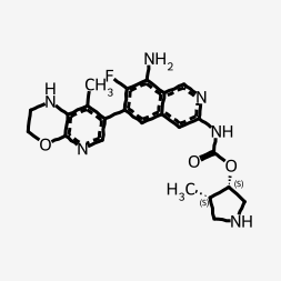 Cc1c(-c2cc3cc(NC(=O)O[C@@H]4CNC[C@@H]4C)ncc3c(N)c2F)cnc2c1NCCO2